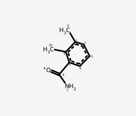 Cc1cc[c]c(C(N)=O)c1C